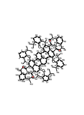 CC(C)c1cccc(C(C)C)c1Oc1cc2c3c(cc(Oc4c(C(C)C)cccc4C(C)C)c4c5ccc6c7c(Oc8c(C(C)C)cccc8C(C)C)cc8c9c(cc(Oc%10c(C(C)C)cccc%10C(C)C)c(c%10ccc(c1c34)c5c%106)c97)C(=O)N(c1c(C(C)C)cccc1C(C)C)C8=O)C(=O)N(c1c(C(C)C)cccc1C(C)C)C2=O